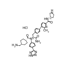 Cc1nc(C(=O)N[C@H]2CCNC2)ccc1-c1ccc(C[C@@H](C(N)=O)N(c2ccc(-c3nn[nH]n3)cc2)C(=O)[C@H]2CC[C@H](CN)CC2)cc1.Cl